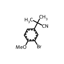 COc1ccc(C(C)(C)C#N)cc1Br